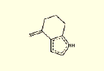 S=C1CCCc2[nH]ccc21